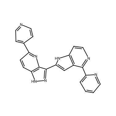 c1ccc(-c2nccc3[nH]c(-c4n[nH]c5ccc(-c6ccncc6)nc45)cc23)nc1